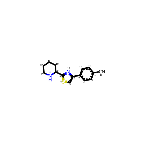 N#Cc1ccc(-c2csc(C3CCCCN3)n2)cc1